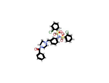 O=C(c1ccccc1)N1CCN(Cc2cccc(N(S(=O)(=O)c3ccccc3Cl)S(=O)(=O)c3ccccc3Cl)c2)CC1